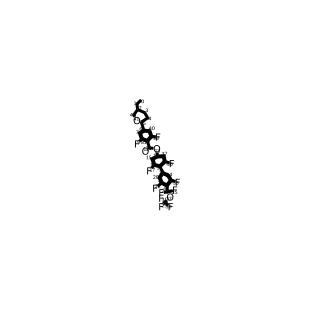 CCC1CCC(c2cc(F)c(C(=O)Oc3cc(F)c(-c4cc(F)c(C(F)(F)OC(F)(F)F)c(F)c4)c(F)c3)c(F)c2)OC1